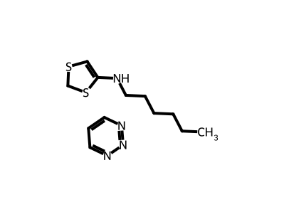 CCCCCCNC1=CSCS1.c1cnnnc1